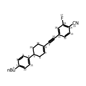 CCCCc1ccc(C2CC=C(C#Cc3ccc(C#N)c(F)c3)CC2)cc1